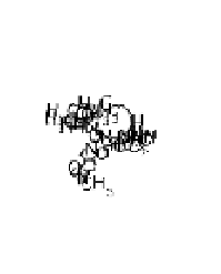 CC[C@@H]1C[C@H](C)CC/C=C\[C@@H]2C[C@@]2(C(=O)NS(=O)(=O)C2CC2)NC(=O)[C@@H]2C[C@@H](Oc3nccc4c5c(ccc34)N(C)CCO5)CN2C(=O)[C@H]1NC(=O)NC(C)(C)C